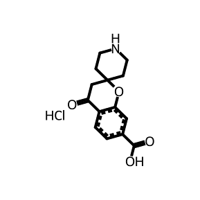 Cl.O=C(O)c1ccc2c(c1)OC1(CCNCC1)CC2=O